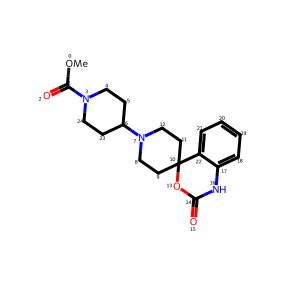 COC(=O)N1CCC(N2CCC3(CC2)OC(=O)Nc2ccccc23)CC1